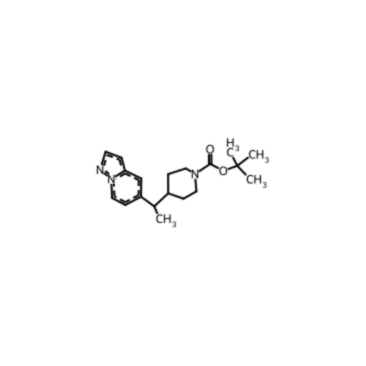 CC(c1ccn2nccc2c1)C1CCN(C(=O)OC(C)(C)C)CC1